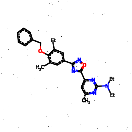 CCc1cc(-c2noc(-c3cc(C)nc(N(CC)CC)n3)n2)cc(C)c1OCc1ccccc1